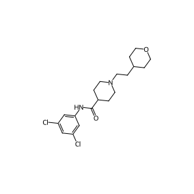 O=C(Nc1cc(Cl)cc(Cl)c1)C1CCN(CCC2CCOCC2)CC1